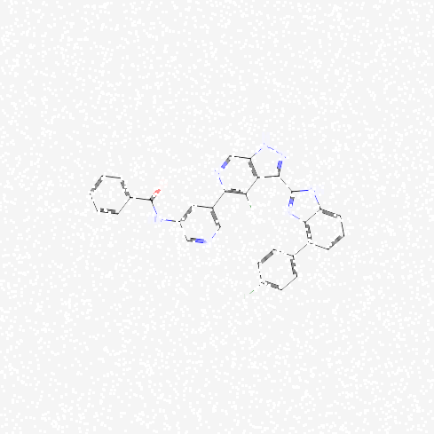 O=C(Nc1cncc(-c2ncc3[nH]nc(-c4nc5c(-c6ccc(F)cc6)cccc5[nH]4)c3c2F)c1)c1ccccc1